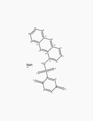 O=C1C=CC(=O)C(S(=O)(=O)Oc2cccc3cc4ccccc4cc23)=C1.[NaH]